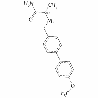 C[C@H](NCc1ccc(-c2ccc(OC(F)(F)F)cc2)cc1)C(N)=O